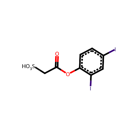 O=C(CS(=O)(=O)O)Oc1ccc(I)cc1I